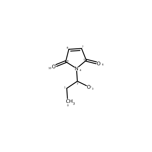 CCC([O])N1C(=O)C=CC1=O